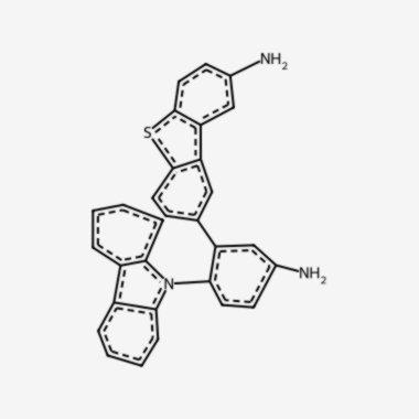 Nc1ccc(-n2c3ccccc3c3ccccc32)c(-c2ccc3sc4ccc(N)cc4c3c2)c1